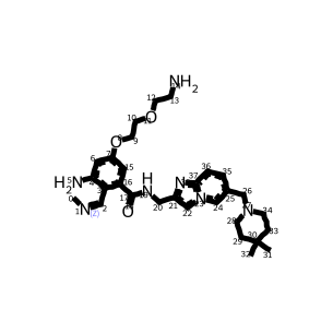 C/N=C\c1c(N)cc(OCCOCCN)cc1C(=O)NCc1cn2cc(CN3CCC(C)(C)CC3)ccc2n1